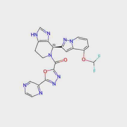 O=C(c1nnc(-c2cnccn2)o1)N1CCc2[nH]cnc2[C@H]1c1cc2c(OC(F)F)cccn2n1